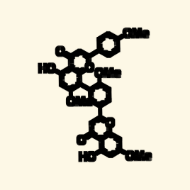 COc1ccc(-c2cc(=O)c3c(O)cc(OC)c(-c4cc(-c5cc(=O)c6c(O)cc(OC)cc6o5)ccc4OC)c3o2)cc1